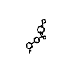 O=C(c1ccc(-c2cccc(F)c2)cc1)N1CCCN(C2CCC2)CC1